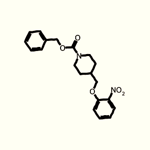 O=C(OCc1ccccc1)N1CCC(COc2ccccc2[N+](=O)[O-])CC1